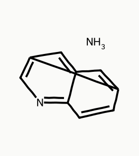 N.c1cc2ncc3cc2cc1-3